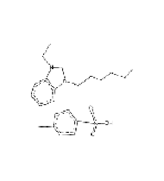 CCCCCCN1CN(CC)c2ccccc21.Cc1ccc(S(=O)(=O)O)cc1